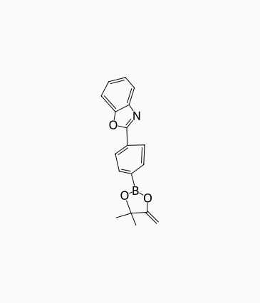 C=C1OB(c2ccc(-c3nc4ccccc4o3)cc2)OC1(C)C